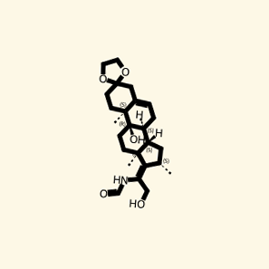 C[C@H]1C[C@H]2[C@@H]3CC=C4CC5(CC[C@]4(C)[C@@]3(O)CC[C@]2(C)C1=C(CO)NC=O)OCCO5